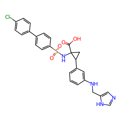 O=C(O)C1(NS(=O)(=O)c2ccc(-c3ccc(Cl)cc3)cc2)CC1c1cccc(NCc2cnc[nH]2)c1